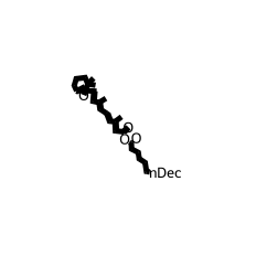 CCCCCCCCCCCCCCCC(=O)OC(=O)/C=C(C)/C=C/C=C(C)/C=C/C12OC1(C)CCCC2(C)C